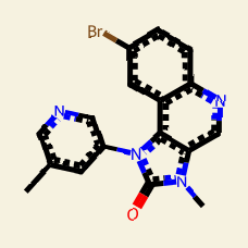 Cc1cncc(-n2c(=O)n(C)c3cnc4ccc(Br)cc4c32)c1